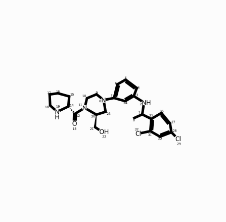 CC(Nc1cccc(N2CCN(C(=O)[C@H]3CCCCN3)[C@H](CO)C2)c1)c1ccc(Cl)cc1Cl